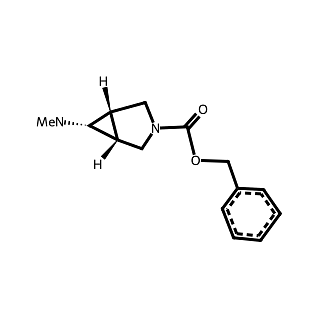 CN[C@@H]1[C@@H]2CN(C(=O)OCc3ccccc3)C[C@@H]21